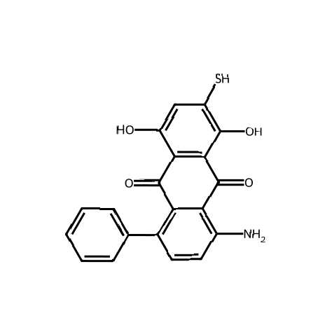 Nc1ccc(-c2ccccc2)c2c1C(=O)c1c(O)c(S)cc(O)c1C2=O